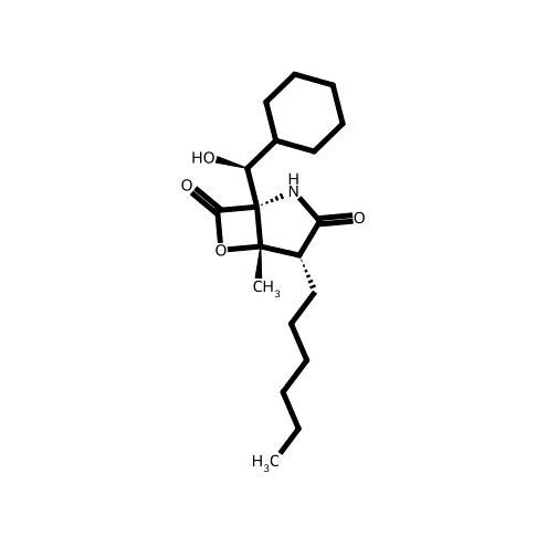 CCCCCC[C@H]1C(=O)N[C@@]2([C@@H](O)C3CCCCC3)C(=O)O[C@@]12C